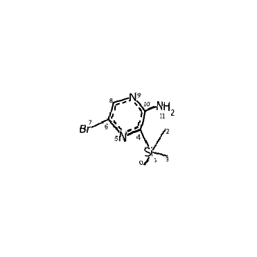 C[Si](C)(C)c1nc(Br)cnc1N